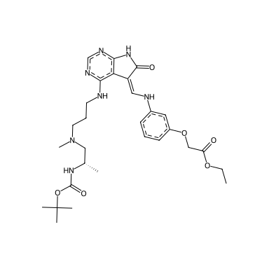 CCOC(=O)COc1cccc(N/C=C2\C(=O)Nc3ncnc(NCCCN(C)C[C@H](C)NC(=O)OC(C)(C)C)c32)c1